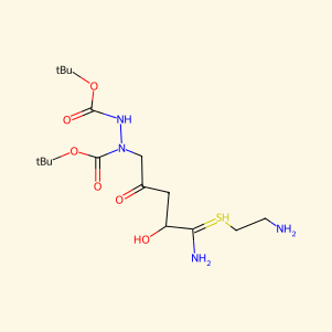 CC(C)(C)OC(=O)NN(CC(=O)CC(O)C(N)=[SH]CCN)C(=O)OC(C)(C)C